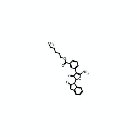 CCCCCCOC(=O)c1cccc(C2=C(N)OC(C3C(F)=Cc4ccccc43)C2=O)c1